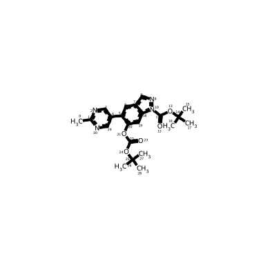 Cc1ncc(-c2cc3cnn(C(=O)OC(C)(C)C)c3cc2OC(=O)OC(C)(C)C)cn1